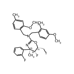 COc1ccc(CN(Cc2ccc(C)cc2OC)C2=N[C@](C)(c3ccccc3F)[C@@H](F)[C@@H](CI)O2)c(C)c1